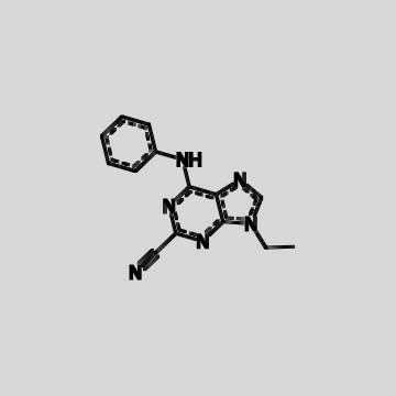 CCn1cnc2c(Nc3ccccc3)nc(C#N)nc21